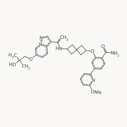 C=C(NC1CC2(C1)CC(Oc1cc(-c3cccc(OC)n3)ccc1C(N)=O)C2)c1cnn2cc(OCC(C)(C)O)ccc12